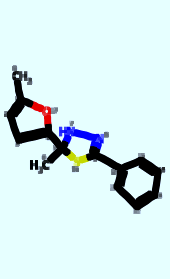 Cc1ccc(C2(C)NN=C(c3ccccc3)S2)o1